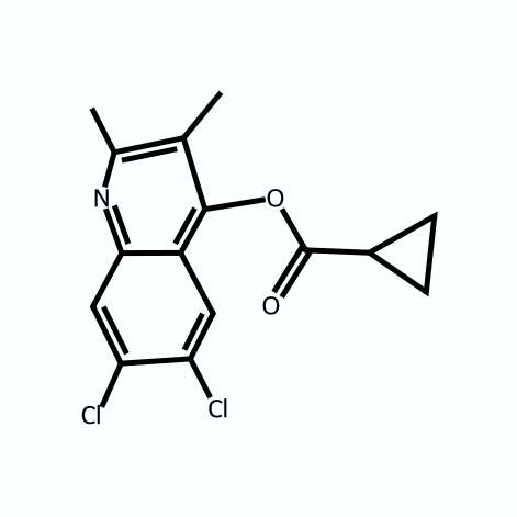 Cc1nc2cc(Cl)c(Cl)cc2c(OC(=O)C2CC2)c1C